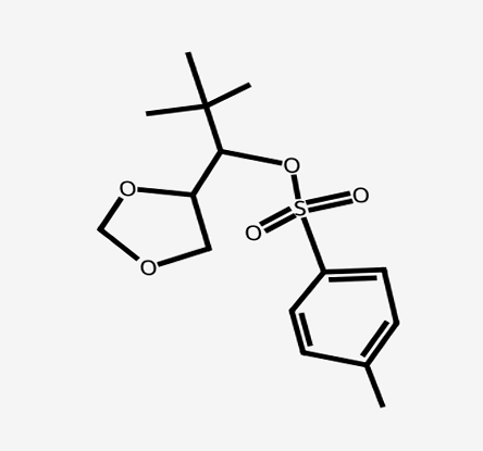 Cc1ccc(S(=O)(=O)OC(C2COCO2)C(C)(C)C)cc1